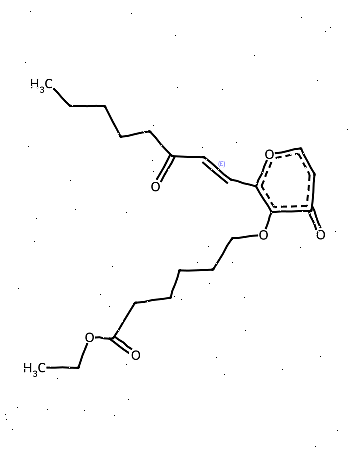 CCCCCC(=O)/C=C/c1occc(=O)c1OCCCCCC(=O)OCC